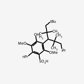 CCCc1c(OC)c(O)c(C(C(C)(C)CC(C)C)C(C)(C)CC(C)(C)C)c(OC)c1S(=O)(=O)O